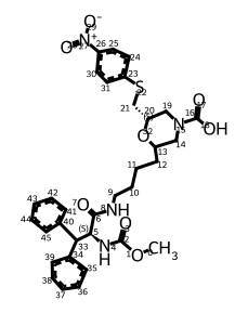 COC(=O)N[C@H](C(=O)NCCCCC1CN(C(=O)O)C[C@@H](CSc2ccc([N+](=O)[O-])cc2)O1)C(c1ccccc1)c1ccccc1